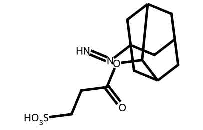 N=NC12CC3CC(C1)C(OC(=O)CCS(=O)(=O)O)C(C3)C2